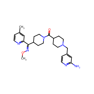 CO/N=C(\c1cc(C)ccn1)C1CCN(C(=O)C2CCN(Cc3ccnc(N)c3)CC2)CC1